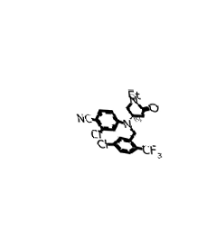 CCN1C[C@@H](N(Cc2cc(Cl)ccc2C(F)(F)F)c2ccc(C#N)c(Cl)c2)CC1=O